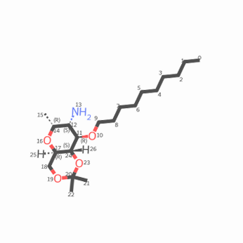 CCCCCCCCCCO[C@@H]1[C@@H](N)[C@@H](C)O[C@@H]2COC(C)(C)O[C@@H]12